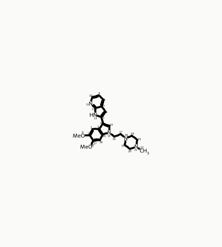 COc1cc2c(-c3cc4cccnc4[nH]3)cn(CCN3CCN(C)CC3)c2cc1OC